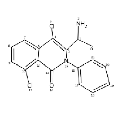 CC(N)c1c(Cl)c2cccc(Cl)c2c(=O)n1-c1ccccc1